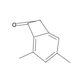 Cc1cc(C)c2c(c1)CC2=O